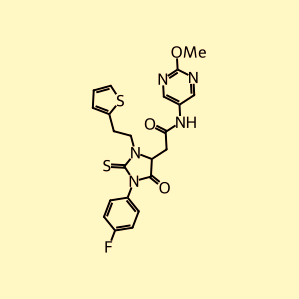 COc1ncc(NC(=O)CC2C(=O)N(c3ccc(F)cc3)C(=S)N2CCc2cccs2)cn1